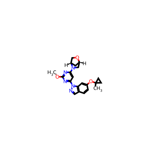 COc1nc(N2C[C@@H]3C[C@H]2CO3)cc(-n2ncc3ccc(OC4(C)CC4)cc32)n1